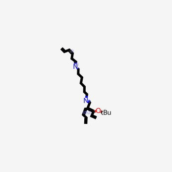 C=C/C=C\C/C=N/CCCCCCC/N=C/C(/C=C\C=C)=C(/C=C)OC(C)(C)C